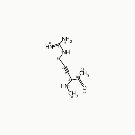 CNC(C#CCNC(=N)N)C(C)=O